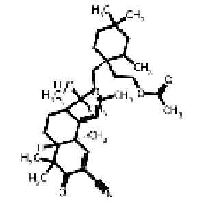 CC(=O)/C=C1/[C@@]2(C)C=C(C#N)C(=O)C(C)(C)[C@@H]2CC[C@@]1(C)C(C)(C)CC[C@@]1(CCOC(C)=O)CCC(C)(C)CC1C